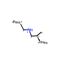 CCCCCC[C@H](C)CNCC(C)CCC